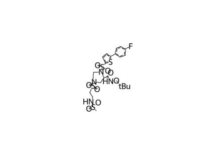 CC(C)(C)ONC(=O)[C@H]1CN(S(=O)(=O)CCNS(C)(=O)=O)CCN1S(=O)(=O)c1ccc(-c2ccc(F)cc2)s1